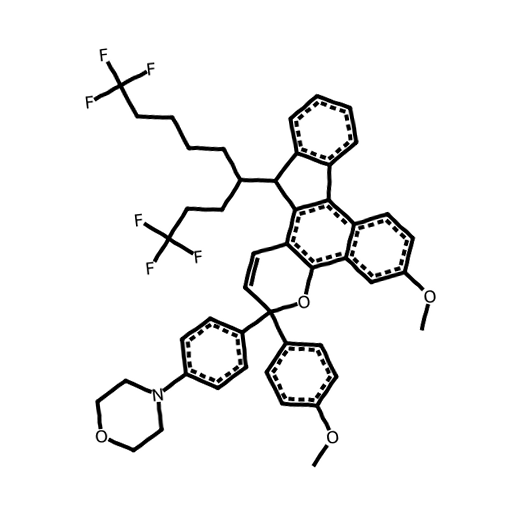 COc1ccc(C2(c3ccc(N4CCOCC4)cc3)C=Cc3c4c(c5ccc(OC)cc5c3O2)-c2ccccc2C4C(CCCCC(F)(F)F)CCC(F)(F)F)cc1